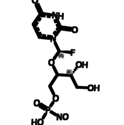 O=NP(=O)(O)OCC(O[C@H](F)n1ccc(=O)[nH]c1=O)[C@H](O)CO